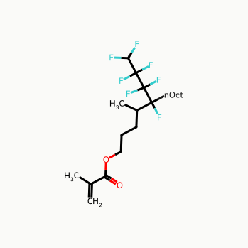 C=C(C)C(=O)OCCCC(C)C(F)(CCCCCCCC)C(F)(F)C(F)(F)[C](F)F